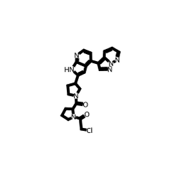 O=C(C1CCCN1C(=O)CCl)N1CCC(c2cc3c(-c4cnn5ncccc45)ccnc3[nH]2)C1